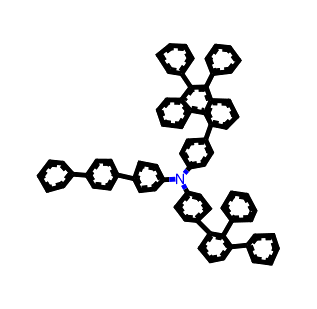 c1ccc(-c2ccc(-c3ccc(N(c4ccc(-c5cccc(-c6ccccc6)c5-c5ccccc5)cc4)c4ccc(-c5cccc6c(-c7ccccc7)c(-c7ccccc7)c7ccccc7c56)cc4)cc3)cc2)cc1